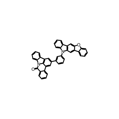 O=c1c2ccccc2c2cc(-c3cccc(-n4c5ccccc5c5cc6oc7ccccc7c6cc54)c3)cc3c4ccccc4n1c23